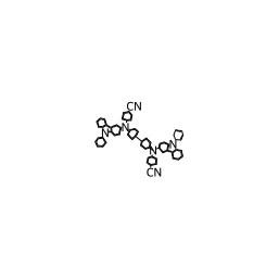 N#Cc1ccc(N(c2ccc(-c3ccc(N(c4ccc(C#N)cc4)c4ccc5c(c4)c4ccccc4n5C4C=CC=CC4)cc3)cc2)c2ccc3c(c2)c2ccccc2n3-c2ccccc2)cc1